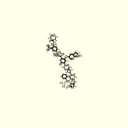 CC(C)c1ccccc1[C@@H]1CN(Cc2cnn(C)c2)CCN1C1CC2(CCN(c3cc(Oc4cnc5[nH]ccc5c4)c(C(=O)NS(=O)(=O)c4ccc(NCC5(F)CCOCC5)c([N+](=O)[O-])c4)cc3F)CC2)C1